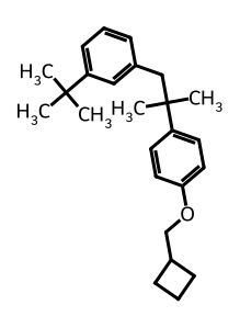 CC(C)(C)c1cccc(CC(C)(C)c2ccc(OCC3CCC3)cc2)c1